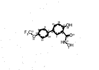 O=C(NO)c1cc(-c2ccc(OC(F)(F)F)cc2)ccc1O